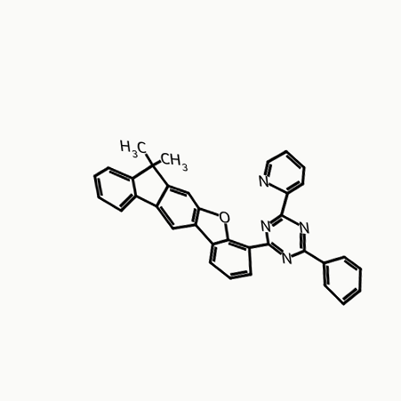 CC1(C)c2ccccc2-c2cc3c(cc21)oc1c(-c2nc(-c4ccccc4)nc(-c4ccccn4)n2)cccc13